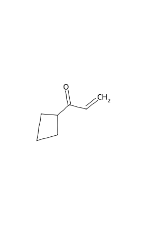 C=CC(=O)C1CCC1